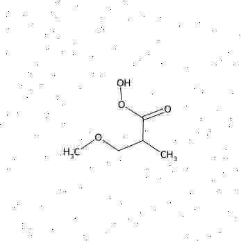 COCC(C)C(=O)OO